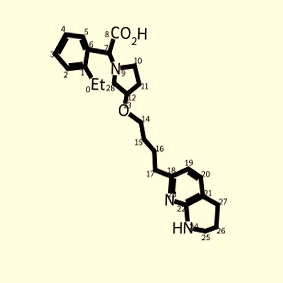 CCc1ccccc1C(C(=O)O)N1CCC(OCCCCc2ccc3c(n2)NCCC3)C1